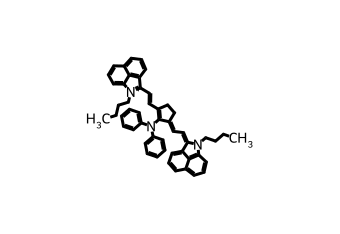 CCCCn1/c(=C/C=C2\CCC(/C=C/C3=[N+](CCCC)c4cccc5cccc3c45)=C2N(c2ccccc2)c2ccccc2)c2cccc3cccc1c32